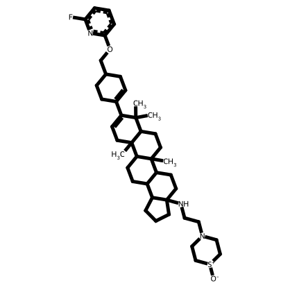 CC1(C)C(C2=CCC(COc3cccc(F)n3)CC2)=CCC2(C)C1CCC1(C)C3CCC4(NCCN5CC[S+]([O-])CC5)CCCC4C3CCC12